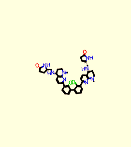 CN1CC[C@@H](NC[C@H]2CCC(=O)N2)c2ccc(-c3cccc(-c4cccc(-c5ccc6c(n5)N(C)CC[C@H]6NC[C@@H]5CCC(=O)N5)c4Cl)c3Cl)nc21